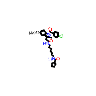 COc1ccc2c(c1)c(CC(=O)NCCCCCCCNC(=O)C1=CC=CC1)c(C)n2C(=O)c1ccc(Cl)cc1